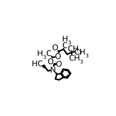 C#CCN(C(=O)OC(C)OC(=O)C(C)CC(C)(C)C)C1CCc2ccccc21